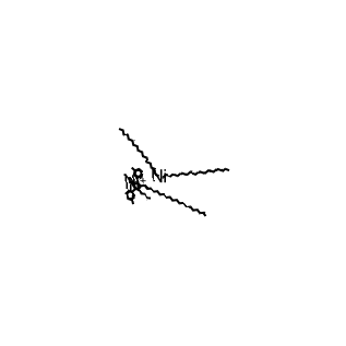 CCCCCCCCCCCCCCCCCCC=CC1=C(c2cccc(C)c2)[N+](=[N-])C(c2cccc(C)c2)=C1CCCC.CCCCCCCCCCCCCCCC[CH2][Ni][CH2]CCCCCCCCCCCCCCCC